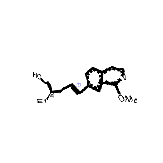 CC[C@@H](CO)C/C=C/c1ccc2ccnc(OC)c2c1